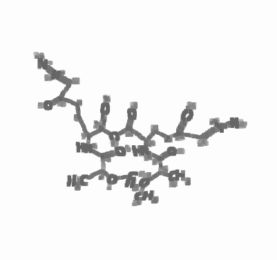 COC(C)C(=O)NC(CCC(=O)C=[N+]=[N-])C(=O)OC(=O)C(CCC(=O)C=[N+]=[N-])NC(=O)C(C)OC